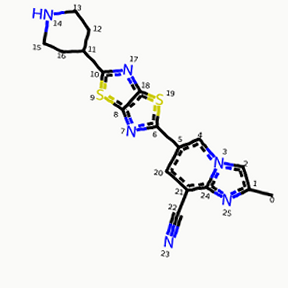 Cc1cn2cc(-c3nc4sc(C5CCNCC5)nc4s3)cc(C#N)c2n1